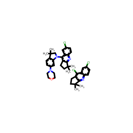 CC1(C)CCc2c1nc1ccc(Cl)cc1c2Cl.CC1(C)CN(c2c3c(nc4ccc(Cl)cc24)C(C)(C)CC3)c2cc(N3CCOCC3)ccc21